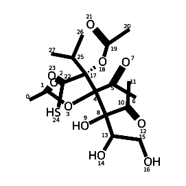 CC(=O)OC(C(C)=O)(C(O)(C(C)=O)C(O)CO)[C@@](OC(C)=O)(C(=O)S)C(C)C